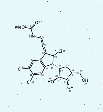 COC(=O)NN=C=C1c2cc(Cl)c(Cl)cc2N([C@@H]2O[C@H](CO)[C@@H](O)[C@H]2O)C1Cl